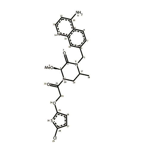 CO[C@H]1C(=O)N(Cc2ccc3c(N)ccnc3c2)C(C)CN1C(=O)COc1ccc(Cl)s1